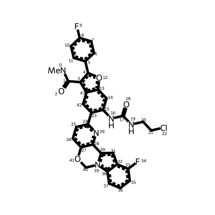 CNC(=O)c1c(-c2ccc(F)cc2)oc2cc(NC(=O)NCCCl)c(-c3ccc4c(n3)-c3cc5c(F)cccc5n3CO4)cc12